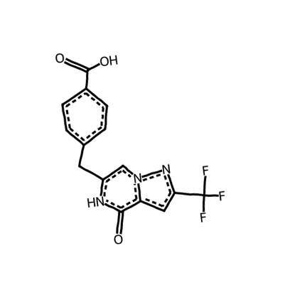 O=C(O)c1ccc(Cc2cn3nc(C(F)(F)F)cc3c(=O)[nH]2)cc1